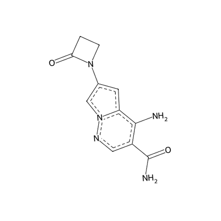 NC(=O)c1cnn2cc(N3CCC3=O)cc2c1N